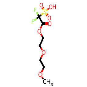 COCCOCCOC(=O)C(F)(F)S(=O)(=O)O